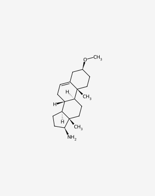 CO[C@H]1CC[C@@]2(C)C(=CC[C@H]3[C@@H]4CC[C@H](N)[C@@]4(C)CC[C@@H]32)C1